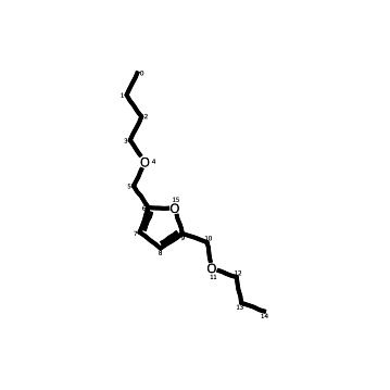 CCCCOCc1ccc(COCCC)o1